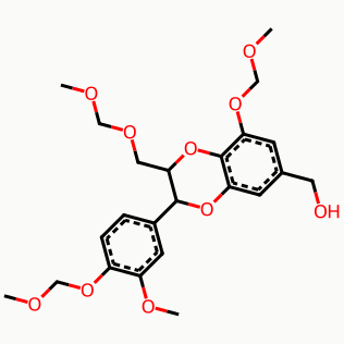 COCOCC1Oc2c(OCOC)cc(CO)cc2OC1c1ccc(OCOC)c(OC)c1